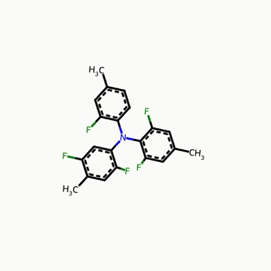 Cc1ccc(N(c2cc(F)c(C)cc2F)c2c(F)cc(C)cc2F)c(F)c1